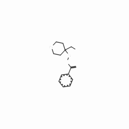 O=C(ONC1(CO)CCNCC1)c1ccccc1